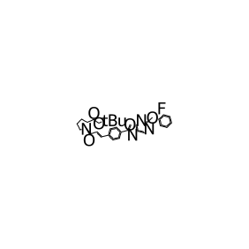 CC(C)(C)OC(=O)C1CCCN1C(=O)C=Cc1ccc(-c2nc3cnc(Oc4ccccc4F)nc3o2)cc1